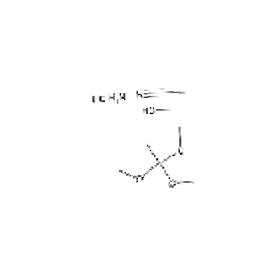 CC#N.CO.COC(C)(OC)OC.Cl.N